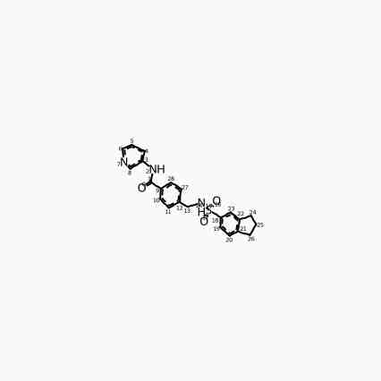 O=C(Nc1cccnc1)c1ccc(CNS(=O)(=O)c2ccc3c(c2)CCC3)cc1